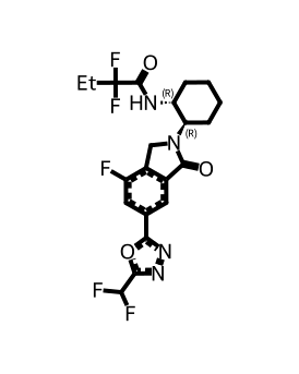 CCC(F)(F)C(=O)N[C@@H]1CCCC[C@H]1N1Cc2c(F)cc(-c3nnc(C(F)F)o3)cc2C1=O